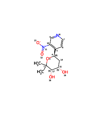 CC1(C)O[C@@H](c2ccncc2[N+](=O)[O-])C[C@H](O)[C@@H]1O